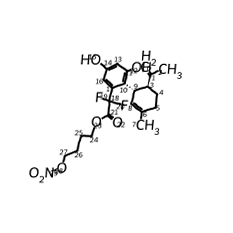 C=C(C)[C@H]1CCC(C)=C[C@@H]1c1c(O)cc(O)cc1C(F)(F)C(=O)OCCCCO[N+](=O)[O-]